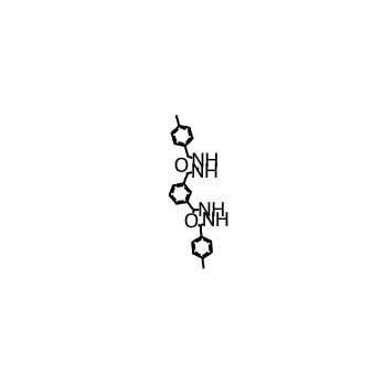 Cc1ccc(C2NNC(c3cccc(C4NNC(c5ccc(C)cc5)O4)c3)O2)cc1